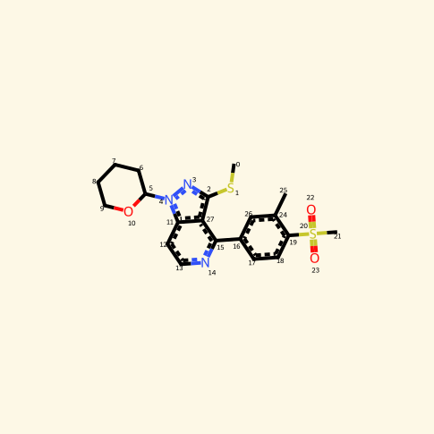 CSc1nn(C2CCCCO2)c2ccnc(-c3ccc(S(C)(=O)=O)c(C)c3)c12